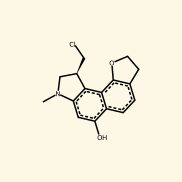 CN1C[C@@H](CCl)c2c1cc(O)c1ccc3c(c21)OCC3